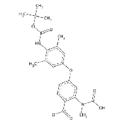 Cc1cc(Oc2ccc([N+](=O)[O-])c(N(C)C(=O)O)c2)cc(C)c1NC(=O)OC(C)(C)C